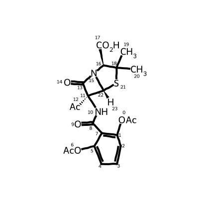 CC(=O)Oc1cccc(OC(C)=O)c1C(=O)N[C@@]1(C(C)=O)C(=O)N2[C@@H](C(=O)O)C(C)(C)S[C@@H]21